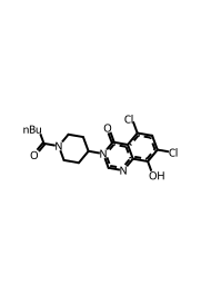 CCCCC(=O)N1CCC(n2cnc3c(O)c(Cl)cc(Cl)c3c2=O)CC1